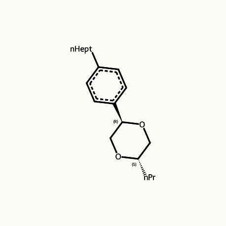 CCCCCCCc1ccc([C@@H]2CO[C@@H](CCC)CO2)cc1